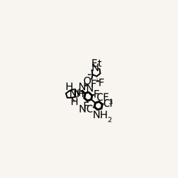 CCN1CC[C@H](C(F)F)[C@](C)(COc2nc(N3C[C@H]4CC[C@@H](C3)N4)c3cc(F)c(-c4c(C#N)c(N)cc(Cl)c4C(F)(F)F)c(F)c3n2)C1